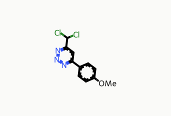 COc1ccc(-c2cc(C(Cl)Cl)nnn2)cc1